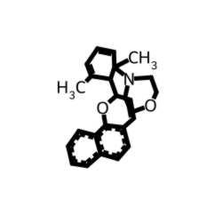 CC1=CC=CC(C)(N2CCOCC2)C1C1C=Cc2ccc3ccccc3c2O1